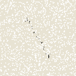 C=C(C)C(=O)OCCOC(=O)NCCNC(=O)OCCOC(=O)C(=C)C